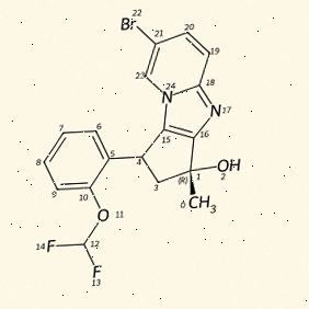 C[C@@]1(O)CC(c2ccccc2OC(F)F)c2c1nc1ccc(Br)cn21